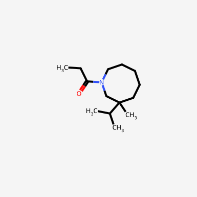 CCC(=O)N1CCCCCC(C)(C(C)C)C1